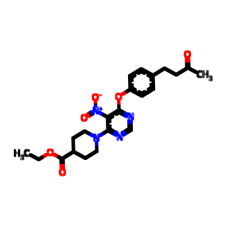 CCOC(=O)C1CCN(c2ncnc(Oc3ccc(CCC(C)=O)cc3)c2[N+](=O)[O-])CC1